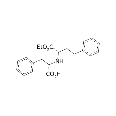 CCOC(=O)[C@H](CCc1ccccc1)N[C@@H](Cc1ccccc1)C(=O)O